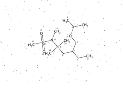 CCC(COC(C)C)CC(C)(C)N(C)S(C)(=O)=O